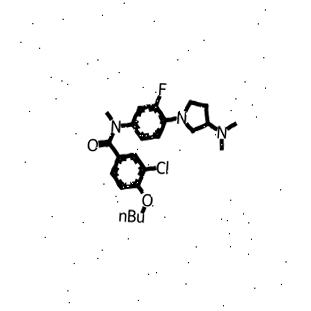 CCCCOc1ccc(C(=O)N(C)c2ccc(N3CCC(N(C)C)C3)c(F)c2)cc1Cl